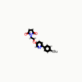 CC(C)(C)c1ccc(-c2ccc(OCCN3C(=O)CCC3=O)cn2)cc1